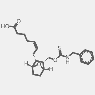 O=C(O)CCC/C=C\C[C@@H]1[C@H](COC(=S)NCc2ccccc2)[C@@H]2CC[C@H]1O2